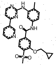 Cc1ccc(NC(=O)c2ccc(S(C)(=O)=O)c(OCC3CC3)c2)cc1Nc1nccc(-c2cccnc2)n1